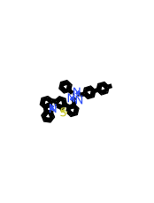 Cc1ccc(-c2ccc(-c3nc(-c4ccccc4)nc(-c4cccc5sc6c(ccc7c8cccc9c%10ccccc%10n(c98)c76)c45)n3)cc2)cc1